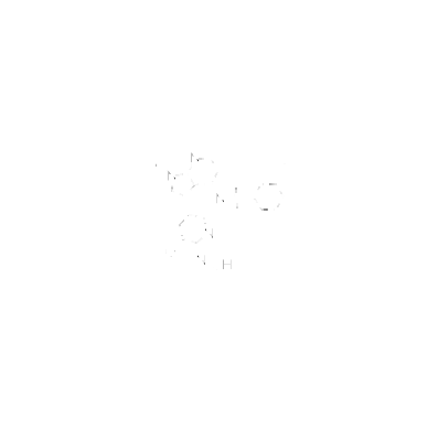 CN1CCOc2cc(-c3cn(C)c4nccc(NS(=O)(=O)c5cccc(Cl)c5)c34)cnc21